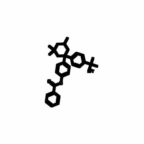 CCCC(C)(C)c1ccc(C2(c3ccc(OC(=O)c4ccccc4)cc3)CC(C)CC(C)(C)C2)cc1